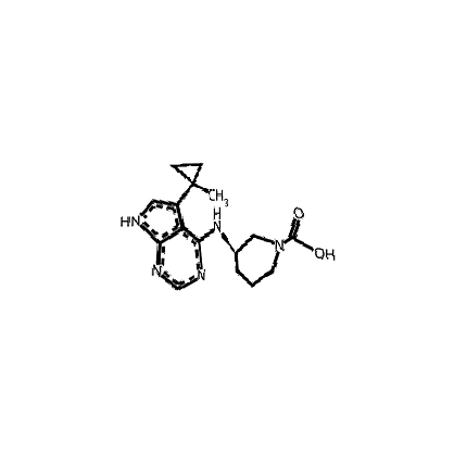 CC1(c2c[nH]c3ncnc(N[C@@H]4CCCN(C(=O)O)C4)c23)CC1